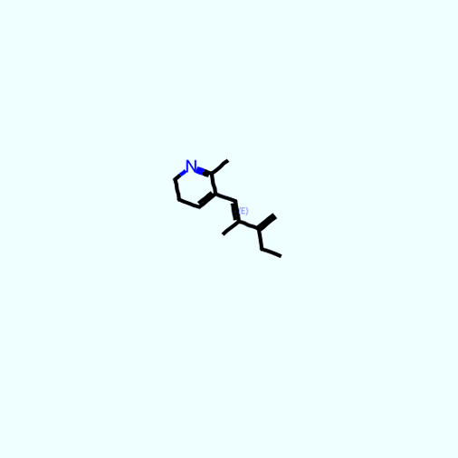 C=C(CC)/C(C)=C/C1=CCCN=C1C